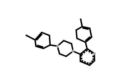 CC1=CCC(N2CCN(c3cccnc3C3=CC=C(C)CC3)CC2)C=C1